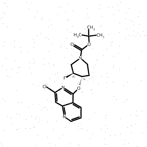 CC(C)(C)OC(=O)N1CC[C@H](Oc2nc(Cl)cc3ncccc23)[C@@H](F)C1